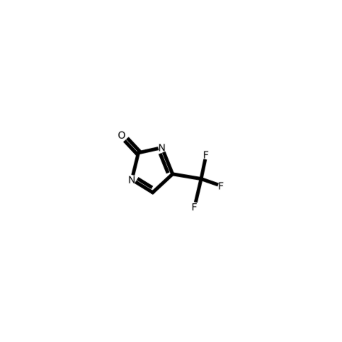 O=C1N=CC(C(F)(F)F)=N1